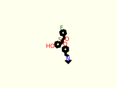 O=C(c1ccc(F)cc1)c1sc2cc(O)ccc2c1Oc1ccc(CCN2CCC2)cc1